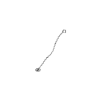 ClCCCCCCCCCCC/C=C/CCCCCCCCCC/C=C/CCCCCCCCCCC1OCCO1